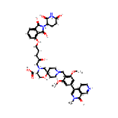 COc1cc(-c2cn(C)c(=O)c3cnccc23)cc(OC)c1CN1CCC2(CC1)CN(CC(=O)CCCOc1cccc3c1C(=O)N(C1CCC(=O)NC1=O)C3=O)CCO2.O=CO